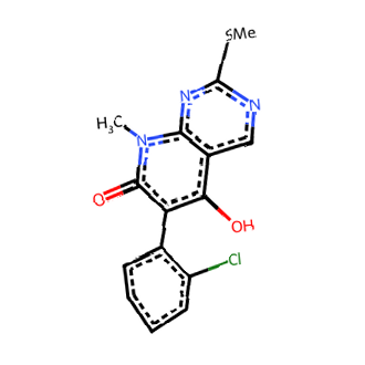 CSc1ncc2c(O)c(-c3ccccc3Cl)c(=O)n(C)c2n1